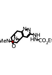 CCOC(=O)NNc1cc2c(nn1)CC1CCCC2N1C(=O)NC